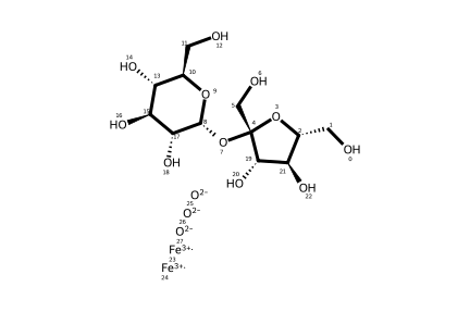 OC[C@H]1O[C@@](CO)(O[C@H]2O[C@H](CO)[C@@H](O)[C@H](O)[C@H]2O)[C@@H](O)[C@@H]1O.[Fe+3].[Fe+3].[O-2].[O-2].[O-2]